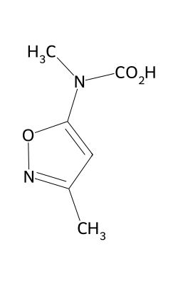 Cc1cc(N(C)C(=O)O)on1